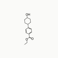 CCOC(=O)c1ccc(C2CCC(O)CC2)cc1